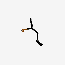 C=CCC(C)[S]